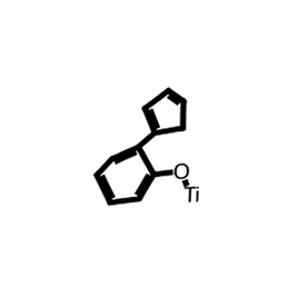 [Ti][O]c1ccccc1C1=CC=CC1